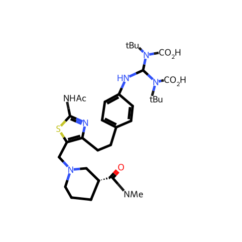 CNC(=O)[C@@H]1CCCN(Cc2sc(NC(C)=O)nc2CCc2ccc(NC(N(C(=O)O)C(C)(C)C)N(C(=O)O)C(C)(C)C)cc2)C1